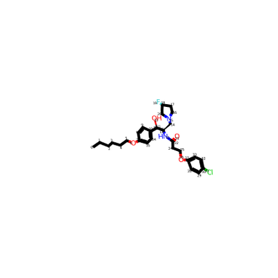 CCCCCCOc1ccc([C@@H](O)[C@@H](CN2CCC(F)C2)NC(=O)CCOc2ccc(Cl)cc2)cc1